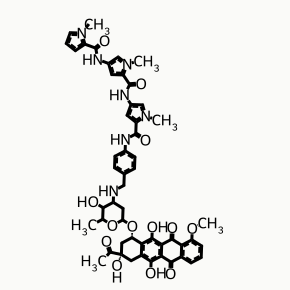 COc1cccc2c1C(=O)c1c(O)c3c(c(O)c1C2=O)C[C@@](O)(C(C)=O)C[C@@H]3OC1CC(NCc2ccc(NC(=O)c3cc(NC(=O)c4cc(NC(=O)c5cccn5C)cn4C)cn3C)cc2)C(O)C(C)O1